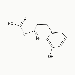 O=C(O)Oc1ccc2cccc(O)c2n1